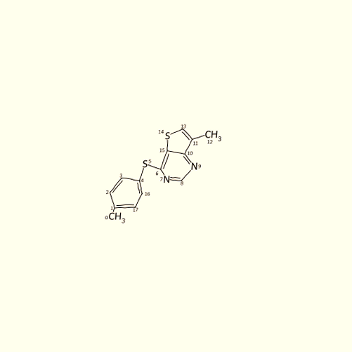 Cc1ccc(Sc2ncnc3c(C)csc23)cc1